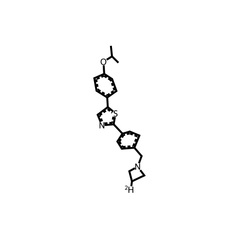 [2H]C1CN(Cc2ccc(-c3ncc(-c4ccc(OC(C)C)cc4)s3)cc2)C1